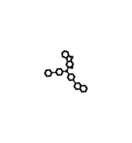 c1ccc(-c2ccc(N(c3ccc(-c4ccc5ccccc5c4)cc3)c3cc4c(cn3)oc3ccccc34)cc2)cc1